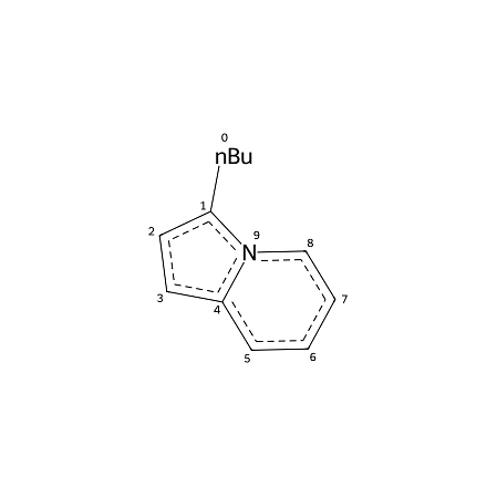 CCCCc1ccc2ccccn12